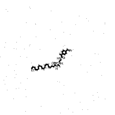 CC/C=C\C/C=C\C/C=C\C/C=C\C/C=C\C/C=C\CCC(=O)N[C@@](C)(C=O)NCCNC(=O)C(C)c1ccc(CC(C)C)cc1